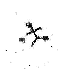 CC(C)(N)C(N)F.Cl